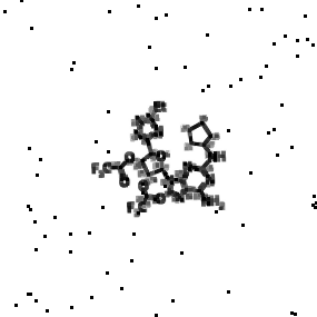 CCn1nnc([C@H]2O[C@@H](n3cnc4c(N)nc(NC5CCCC5)nc43)[C@H](OC(=O)C(F)(F)F)[C@@H]2OC(=O)C(F)(F)F)n1